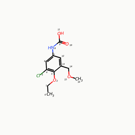 CCOc1c(Cl)cc(NC(=O)O)cc1COC